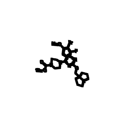 COc1cc2c(N3CCN(C(=O)OC(C)(C)C)CC3)nc(OCC34CCCN3CCC4)nc2c(F)c1Br